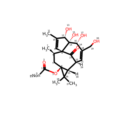 CCCCCCCCCC(=O)O[C@@]12C[C@@H](C)[C@]34C=C(C)[C@H](O)[C@@]3(O)[C@H](O)C(CO)=C[C@H](C4=O)[C@@H]1C2(C)C